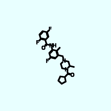 Cc1c(CN2CCN(C(=O)C3CCCC3)C(C)C2)cc(F)cc1NC(=O)c1cc(F)ccc1F